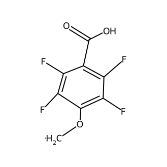 [CH2]Oc1c(F)c(F)c(C(=O)O)c(F)c1F